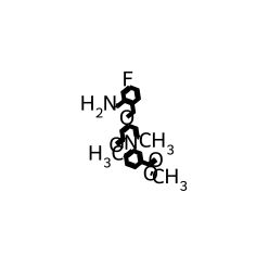 COC(=O)c1ccc(C)c(-n2c(C)cc(OCc3ccc(F)cc3CN)cc2=O)c1